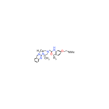 CNCCOc1ccc(C)c(NC(=O)CN2C[C@@H](C)N(c3ncc4ccccc4n3)[C@@H](C)C2)c1